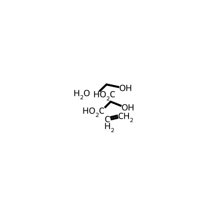 C=C.O.O=C(O)CO.O=C(O)CO